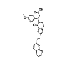 COc1ccc(C(CC(=O)O)N2CCn3cc(C=Cc4ccc5cccnc5n4)cc3C2=O)cn1